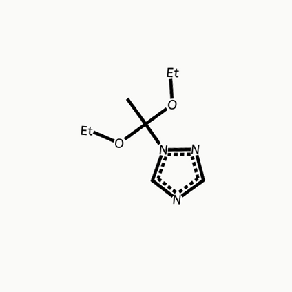 CCOC(C)(OCC)n1cncn1